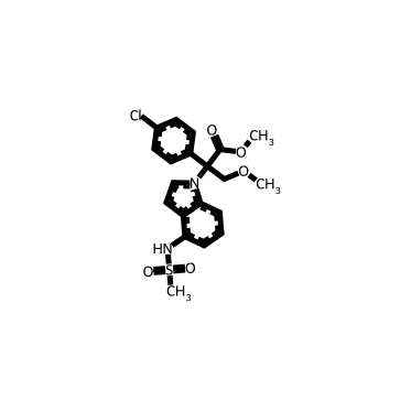 COCC(C(=O)OC)(c1ccc(Cl)cc1)n1ccc2c(NS(C)(=O)=O)cccc21